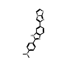 CN(C)c1ccc(-c2nc3ccc(-c4cn5ccsc5n4)cc3[nH]2)cc1